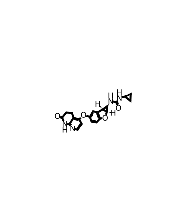 O=C1CCc2c(Oc3ccc4c(c3)[C@H]3[C@H](NC(=O)NC5CC5)[C@H]3O4)ccnc2N1